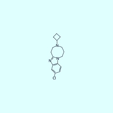 Clc1ccc2c(c1)nc1n2CCCN(C2CCC2)CC1